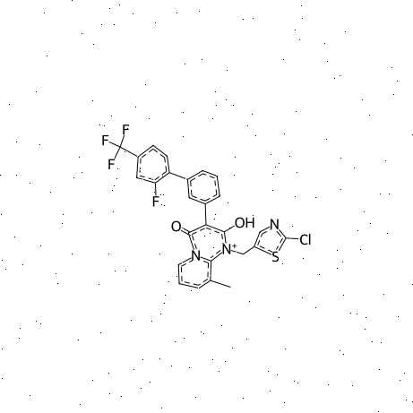 Cc1cccn2c(=O)c(-c3cccc(-c4ccc(C(F)(F)F)cc4F)c3)c(O)[n+](Cc3cnc(Cl)s3)c12